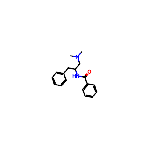 CN(C)CC(Cc1ccccc1)NC(=O)c1ccccc1